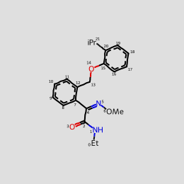 CCNC(=O)C(=NOC)c1ccccc1COc1ccccc1C(C)C